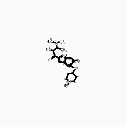 CC(C(C#N)C(=O)c1cc2cc(OC3CCN(C(C)C)CC3)c(Br)cc2[nH]1)N(C)C